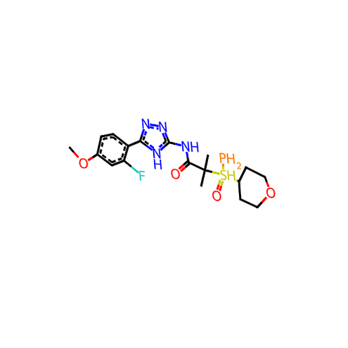 COc1ccc(-c2nnc(NC(=O)C(C)(C)[SH](=O)(P)C3CCOCC3)[nH]2)c(F)c1